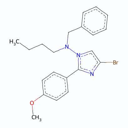 CCCCN(Cc1ccccc1)n1cc(Br)nc1-c1ccc(OC)cc1